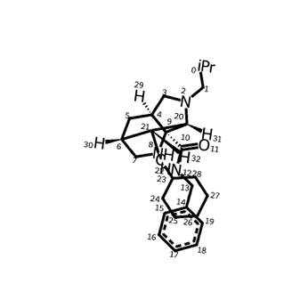 CC(C)CN1C[C@@H]2C[C@H]3CN[C@]2(C(=O)NCc2ccccc2)[C@@H]1[C@@H]3CC1CCCCC1